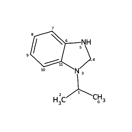 CC(C)N1[C]Nc2ccccc21